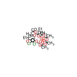 C=C(CC)C(=O)c1ccc(OCC(=O)O[C@H](C)C(=O)O[C@H](C)C(=O)O[C@H](C)C(=O)O[C@H](C)C(=O)O[C@H](C)C(=O)O[C@H](C)C(=O)OCC)c(Cl)c1Cl